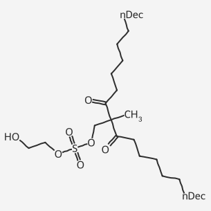 CCCCCCCCCCCCCCCC(=O)C(C)(COS(=O)(=O)OCCO)C(=O)CCCCCCCCCCCCCCC